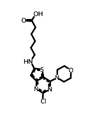 O=C(O)CCCCCNc1cc2nc(Cl)nc(N3CCOCC3)c2s1